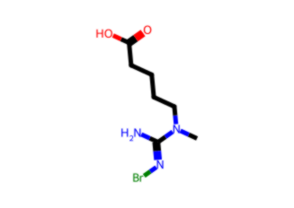 CN(CCCCC(=O)O)C(N)=NBr